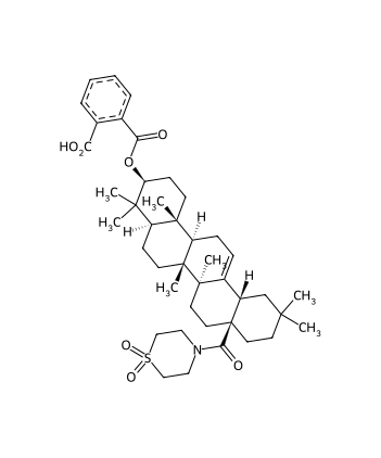 CC1(C)CC[C@]2(C(=O)N3CCS(=O)(=O)CC3)CC[C@]3(C)C(=CC[C@@H]4[C@@]5(C)CC[C@H](OC(=O)c6ccccc6C(=O)O)C(C)(C)[C@@H]5CC[C@]43C)[C@@H]2C1